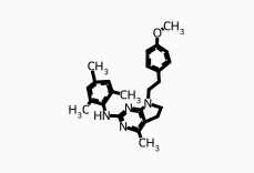 COc1ccc(CCN2CCc3c(C)nc(Nc4c(C)cc(C)cc4C)nc32)cc1